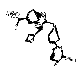 COC(=O)c1ccc2nc(CN3CC=C(c4ccc(F)c(S)n4)CC3)n(C[C@@H]3CCO3)c2c1